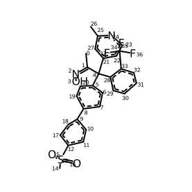 C/C(=N/O)C(c1ccc(-c2ccc(S(C)(=O)=O)cc2)cc1)(c1ccnc(C)c1)c1ccccc1C(F)(F)F